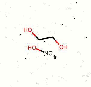 O=[N+]([O-])O.OCCO.[Ir]